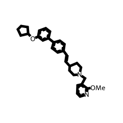 COc1ncccc1CN1CCC(C=Cc2ccc(-c3cccc(OC4CCCC4)c3)cc2)CC1